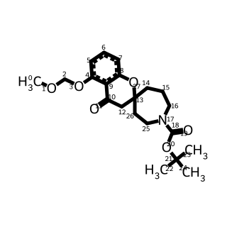 COCOc1cccc2c1C(=O)CC1(CCCN(C(=O)OC(C)(C)C)CC1)O2